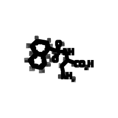 NCC(NS(=O)(=O)c1cccc2ccccc12)C(=O)O